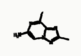 Cc1nc2c(C)nc(N)cn2n1